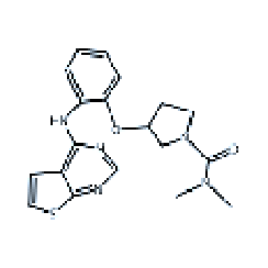 CN(C)C(=O)N1CCC(Oc2ccccc2Nc2ncnc3sccc23)C1